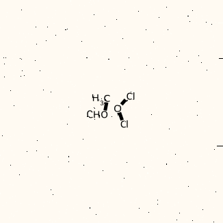 CC=O.ClOCl